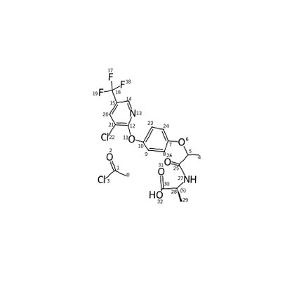 CC(=O)Cl.CC(Oc1ccc(Oc2ncc(C(F)(F)F)cc2Cl)cc1)C(=O)N[C@@H](C)C(=O)O